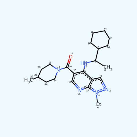 CCn1ncc2c(NC(C)C3CCCCC3)c(C(=O)N3CCC(C)CC3)cnc21